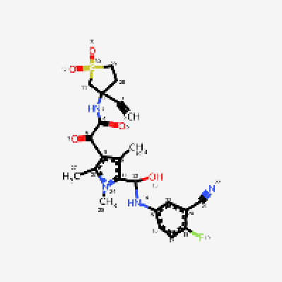 C#CC1(NC(=O)C(=O)c2c(C)c(C(O)Nc3ccc(F)c(C#N)c3)n(C)c2C)CCS(=O)(=O)C1